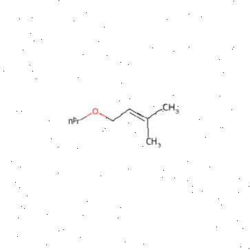 CCCOCC=C(C)C